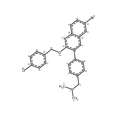 CN(C)Cc1ccc(-c2cc3cc(Br)ccc3nc2OCc2ccc(Cl)cc2)cc1